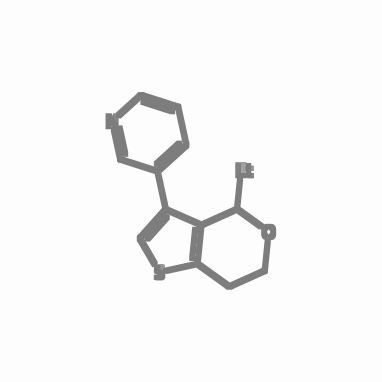 CCC1OCCc2scc(-c3cccnc3)c21